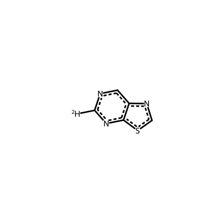 [2H]c1ncc2ncsc2n1